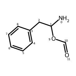 NC(Cc1ccccc1)OC=O